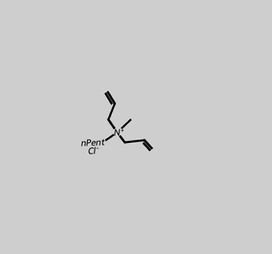 C=CC[N+](C)(CC=C)CCCCC.[Cl-]